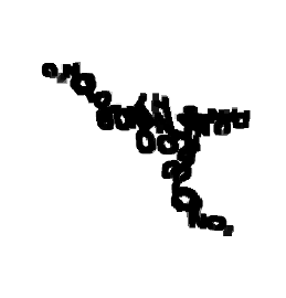 C[C@H]1[C@H](NC(=O)C(=NOCC(=O)OCc2ccc([N+](=O)[O-])cc2)c2csc(NC(=O)CCl)n2)C(=O)N1OCC(=O)OCc1ccc([N+](=O)[O-])cc1